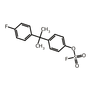 CC(C)(c1ccc(F)cc1)c1ccc(OS(=O)(=O)F)cc1